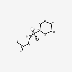 CC(C)CNS(=O)(=O)C1CCCCC1